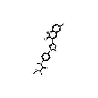 CO[C@H](C)C(=O)N(C)c1ccc(-n2cc(-c3cc4cc(F)ccc4[nH]c3=O)nn2)cc1